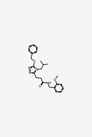 COc1ccccc1CNC(=O)CCc1nnc(SCc2ccccc2)n1CC(C)C